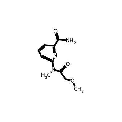 COCC(=O)N(C)c1cc[c]c(C(N)=O)n1